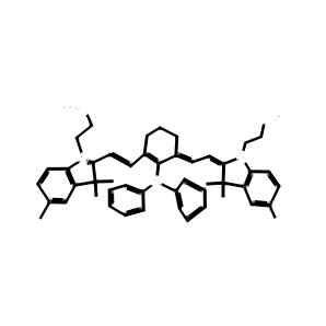 COCCN1/C(=C/C=C2\CCCC(/C=C/C3=[N+](CCOC)c4ccc(C)cc4C3(C)C)=C2N(c2ccccc2)c2ccccc2)C(C)(C)c2cc(C)ccc21